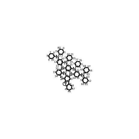 c1ccc(N(c2ccccc2)c2ccc3c(c2)N(c2ccccc2)c2cc4c5c6c2B3c2cccc3c2N6c2c(cc6c(oc7ccccc76)c2S3)B5c2ccc(N(c3ccccc3)c3ccccc3)cc2N4c2ccccc2)cc1